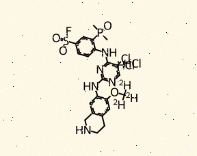 Cl.Cl.[2H]C([2H])([2H])Oc1cc2c(cc1Nc1ncc(Cl)c(Nc3ccc(S(=O)(=O)F)cc3P(C)(C)=O)n1)CNCC2